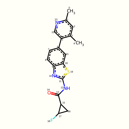 Cc1cc(C)c(-c2ccc3nc(NC(=O)C4CC4F)sc3c2)cn1